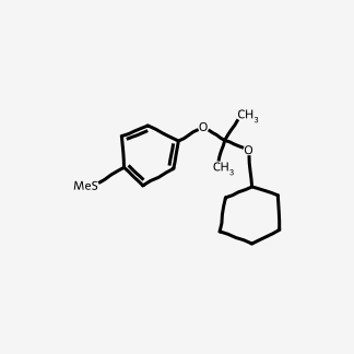 CSc1ccc(OC(C)(C)OC2CCCCC2)cc1